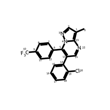 Cc1cnn2c(-c3ccc(C(F)(F)F)cc3)c(-c3ccccc3Cl)cnc12